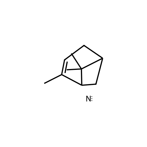 CC1=CCC2CC1C2(C)C.[N]